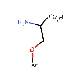 [CH2]C(=O)OCC(N)C(=O)O